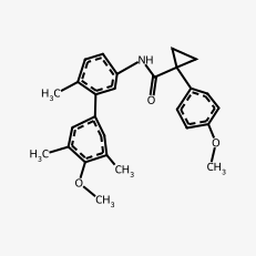 COc1ccc(C2(C(=O)Nc3ccc(C)c(-c4cc(C)c(OC)c(C)c4)c3)CC2)cc1